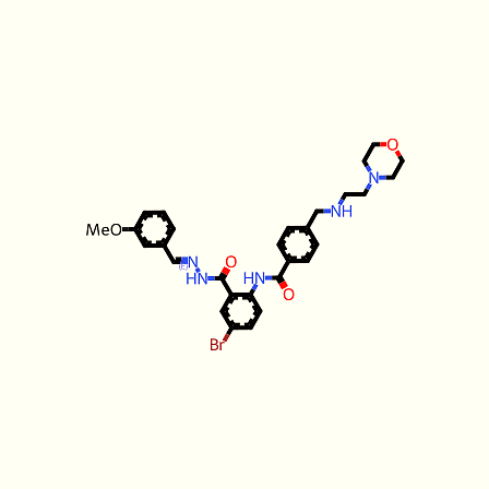 COc1cccc(/C=N/NC(=O)c2cc(Br)ccc2NC(=O)c2ccc(CNCCN3CCOCC3)cc2)c1